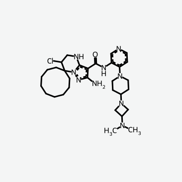 CN(C)C1CN(C2CCN(c3ccncc3NC(=O)c3c(N)nn4c3NCC(Cl)C43CCCCCCCCC3)CC2)C1